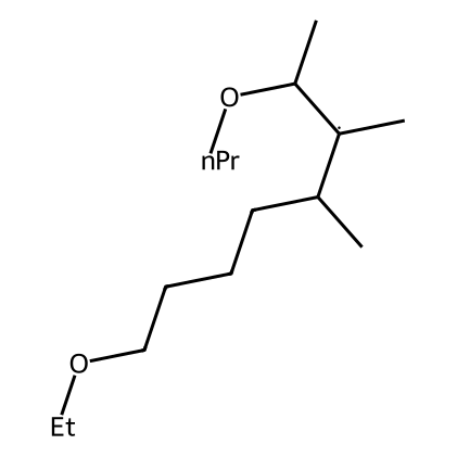 CCCOC(C)[C](C)C(C)CCCCOCC